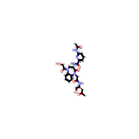 CC(=O)C[C@@H](C=O)NC(=O)CN1C(=O)[C@@H](NC(=O)c2cccc(NC(C)=O)n2)CN(C(=O)CO)c2ccccc21